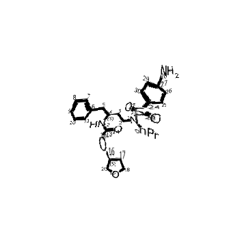 CCCN(CC[C@H](Cc1ccccc1)NC(=O)O[C@H]1CCOC1)S(=O)(=O)c1ccc(N)cc1